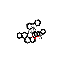 c1ccc(-n2c3ccccc3c3cccc(N(c4ccc5sc6ccccc6c5c4)c4cc5ccccc5c5ccc6ccccc6c45)c32)cc1